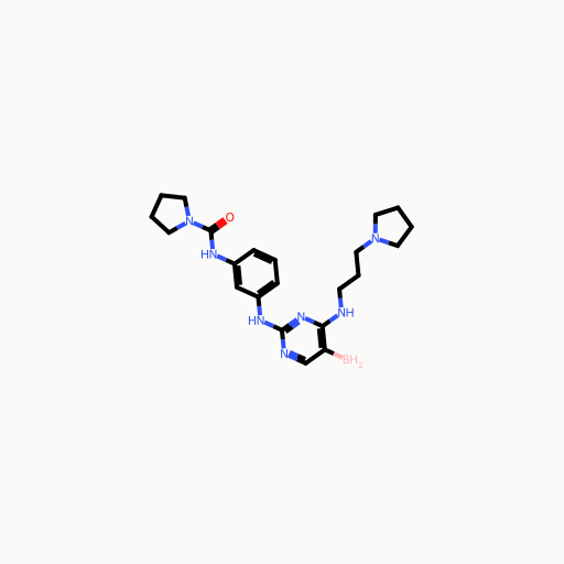 Bc1cnc(Nc2cccc(NC(=O)N3CCCC3)c2)nc1NCCCN1CCCC1